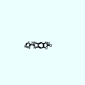 O=c1[nH]c2cc3[nH]c(-c4nncs4)nc3cc2o1